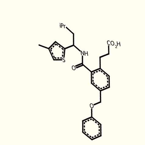 Cc1csc(C(CC(C)C)NC(=O)c2cc(COc3ccccc3)ccc2CCC(=O)O)c1